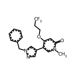 Cn1cc(-c2cnn(Cc3ccccc3)c2)c(OCCC(F)(F)F)cc1=O